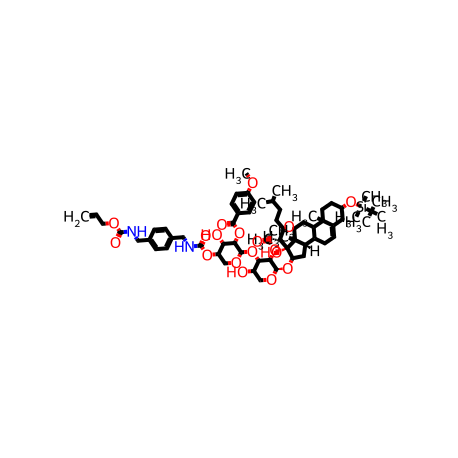 C=CCOC(=O)NCc1ccc(CNC(=O)OC2COC(OC3C(O)CO[C@H](OC4C[C@H]5C6CC=C7CC(O[Si](C)(C)C(C)(C)C)CCC7(C)C6CCC5(C)[C@@]4(O)[C@H](C)C(=O)CCC(C)C)C3OC(C)=O)C(OC(=O)c3ccc(OC)cc3)C2O)cc1